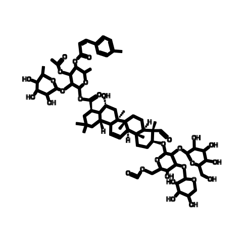 CC(=O)OC1C(OC(=O)/C=C\c2ccc(C)cc2)C(C)OC(OC(=O)[C@@H]2CC(C)(C)C[C@@H]3C2[C@H](O)C[C@]2(C)C3C=C[C@@H]3[C@@]4(C)CC[C@H](OC5OC(COC=O)C(O)C(OC6OCC(O)C(O)C6O)C5OC5OC(CO)C(O)C(O)C5O)[C@@](C)(C=O)[C@@H]4CC[C@]32C)C1OC1OC(C)C(O)C(O)C1O